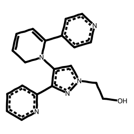 OCCn1cc(N2CC=CC=C2c2ccncc2)c(-c2ccccn2)n1